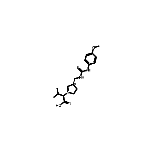 COc1ccc(NC(=S)NC[C@H]2CCN(C(C(=O)O)C(C)C)C2)cc1